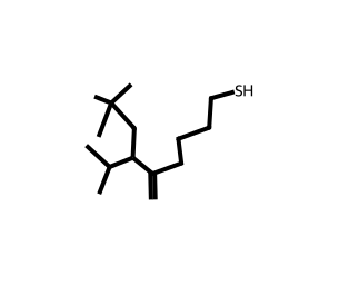 C=C(CCCCS)C(CC(C)(C)C)C(C)C